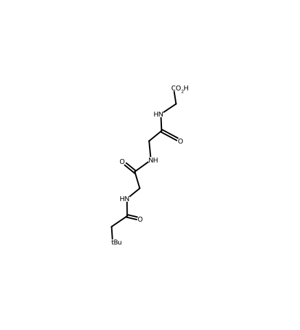 CC(C)(C)CC(=O)NCC(=O)NCC(=O)NCC(=O)O